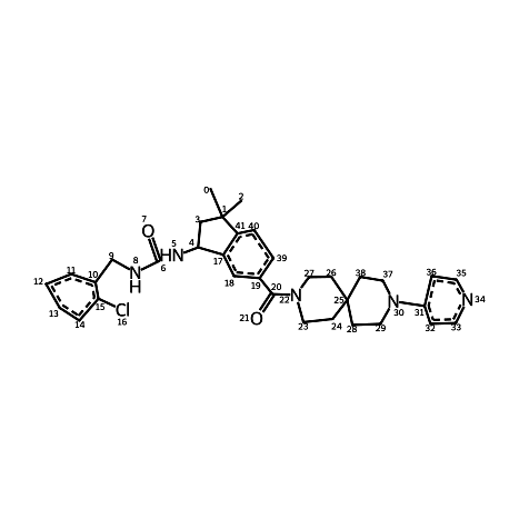 CC1(C)CC(NC(=O)NCc2ccccc2Cl)c2cc(C(=O)N3CCC4(CC3)CCN(c3ccncc3)CC4)ccc21